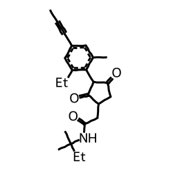 CC#Cc1cc(C)c(C2C(=O)CC(CC(=O)NC(C)(C)CC)C2=O)c(CC)c1